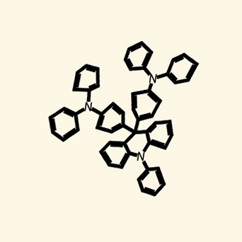 c1ccc(N(c2ccccc2)c2ccc(C3(c4ccc(N(c5ccccc5)c5ccccc5)cc4)c4ccccc4N(c4ccccc4)c4ccccc43)cc2)cc1